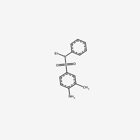 CCN(c1ccccc1)S(=O)(=O)c1ccc(N)c(C)c1